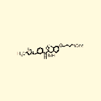 Br.CCCCCCCCCCCCCCOc1ccc(CC(=O)Nc2cccc(CN3C=C(C)SC3)c2)c(Cl)c1